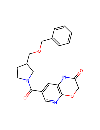 O=C1COc2ncc(C(=O)N3CCC(COCc4ccccc4)C3)cc2N1